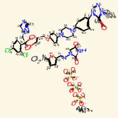 CCC(C)n1ncn(-c2ccc(N3CCN(c4ccc(OC[C@H]5CO[C@](Cn6cncn6)(c6ccc(Cl)cc6Cl)O5)cc4)CC3)cc2)c1=O.O=C1CN(/N=C/c2ccc([N+](=O)[O-])o2)C(=O)N1.O=S(=O)([O-])[O-].O=S(=O)([O-])[O-].O=S(=O)([O-])[O-].[Al+3].[Al+3]